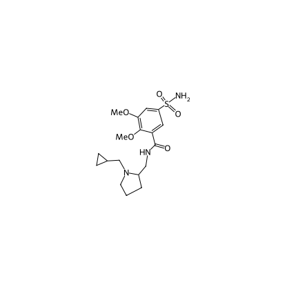 COc1cc(S(N)(=O)=O)cc(C(=O)NCC2CCCN2CC2CC2)c1OC